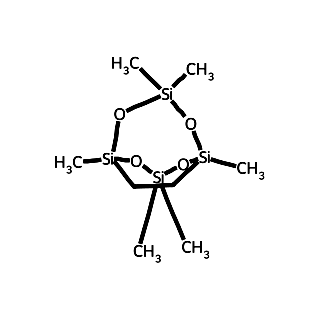 C[Si]1(C)O[Si]2(C)CC[Si](C)(O1)O[Si](C)(C)O2